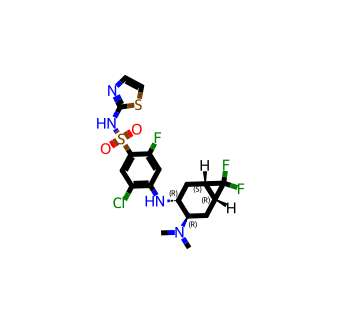 CN(C)[C@@H]1C[C@@H]2[C@H](C[C@H]1Nc1cc(F)c(S(=O)(=O)Nc3nccs3)cc1Cl)C2(F)F